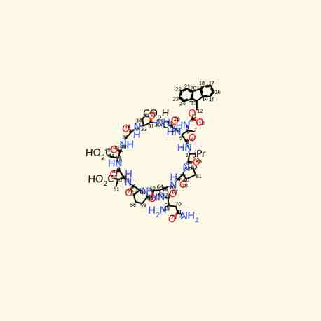 CC(C)C1NC(=O)C(C(C)NC(=O)OCC2c3ccccc3-c3ccccc32)NC(=O)CNC(=O)C(CC(=O)O)NC(=O)CNC(=O)C(CC(=O)O)NC(=O)C(C(C)C(=O)O)NC(=O)C2CCCCN2C(=O)C(NC(=O)C(N)CC(N)=O)[C@@H](C)NC(=O)C2CCCN2C1=O